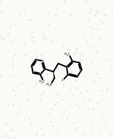 Cc1cccnc1[C@H](CN)Cc1c(C)cccc1F